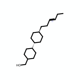 CC/C=C/CC[C@H]1CC[C@H](C2CCC(CO)CC2)CC1